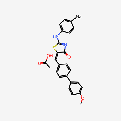 CC(=O)O.COc1ccc(-c2ccc(/C=C3/SC(Nc4cc[c]([Na])cc4)=NC3=O)cc2)cc1